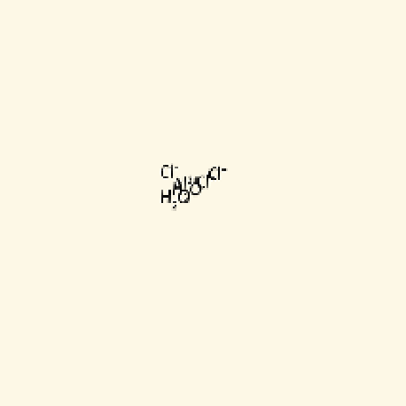 O.O.[Al+3].[Cl-].[Cl-].[Cl-]